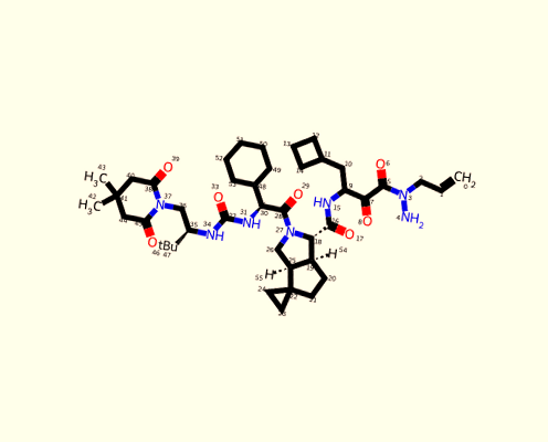 C=CCN(N)C(=O)C(=O)C(CC1CCC1)NC(=O)[C@@H]1[C@H]2CCC3(CC3)[C@H]2CN1C(=O)[C@@H](NC(=O)N[C@H](CN1C(=O)CC(C)(C)CC1=O)C(C)(C)C)C1CCCCC1